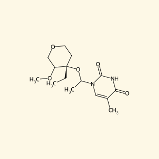 CC[C@]1(OC(C)n2cc(C)c(=O)[nH]c2=O)CCOCC1OC